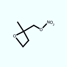 CC1(CO[N+](=O)[O-])CCO1